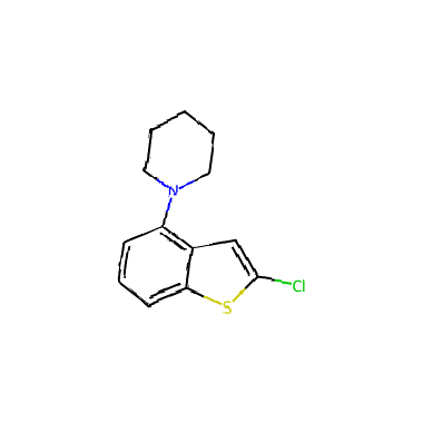 Clc1cc2c(N3CCCCC3)cccc2s1